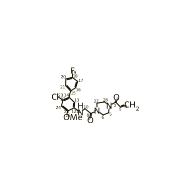 C=CC(=O)N1CCN(C(=O)CNc2cc(-c3ccc(F)cc3)c(Cl)cc2OC)CC1